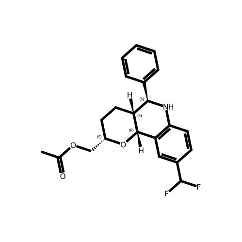 CC(=O)OC[C@@H]1CC[C@@H]2[C@@H](c3ccccc3)Nc3ccc(C(F)F)cc3[C@@H]2O1